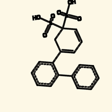 O=S(=O)(O)C1(S(=O)(=O)O)C=CC=C(c2ccccc2-c2ccccc2)C1